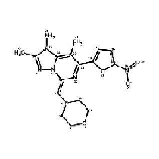 CC1=NN2C(=CN3CCOCC3)N=C(c3ccc([N+](=O)[O-])o3)C(C)=C2N1N